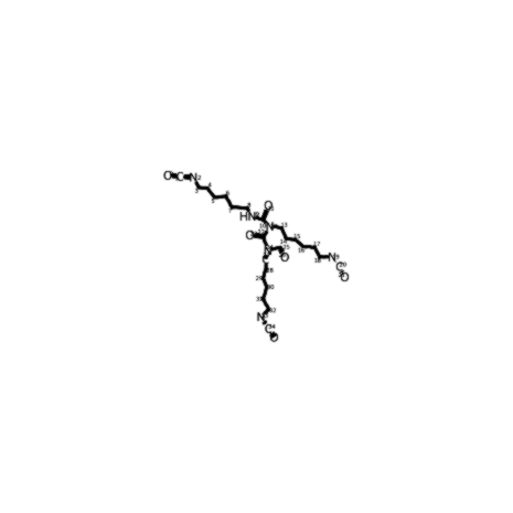 O=C=NCCCCCCNC(=O)N(CCCCCCN=C=O)C(=O)N(C=O)CCCCCCN=C=O